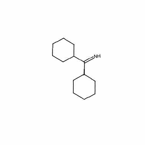 N=C(C1CCCCC1)C1CCCCC1